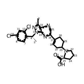 Cc1nn([C@H](C)c2ccc(Cl)cc2Cl)c2nc(C3=CCC(N4CCC[C@H]4C(=O)O)CC3)cnc12